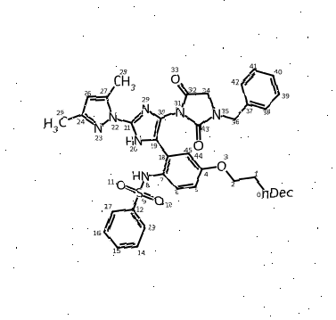 CCCCCCCCCCCCOc1ccc(NS(=O)(=O)c2ccccc2)c(-c2[nH]c(-n3nc(C)cc3C)nc2N2C(=O)CN(Cc3ccccc3)C2=O)c1